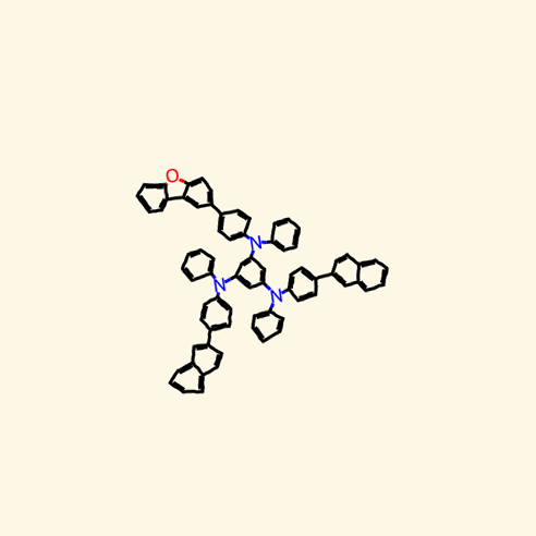 c1ccc(N(c2ccc(-c3ccc4ccccc4c3)cc2)c2cc(N(c3ccccc3)c3ccc(-c4ccc5ccccc5c4)cc3)cc(N(c3ccccc3)c3ccc(-c4ccc5oc6ccccc6c5c4)cc3)c2)cc1